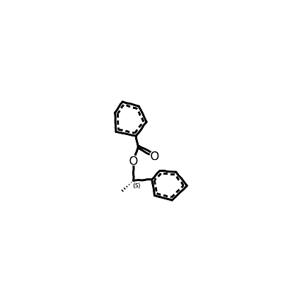 C[C@H](OC(=O)c1ccccc1)c1ccccc1